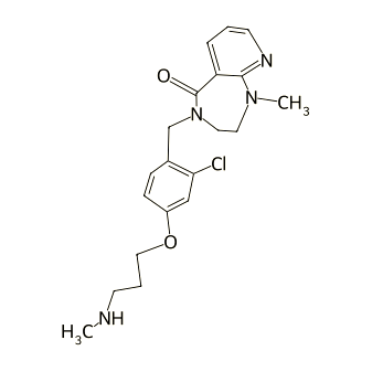 CNCCCOc1ccc(CN2CCN(C)c3ncccc3C2=O)c(Cl)c1